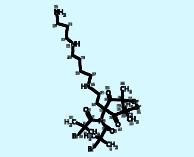 CC(C)(Br)C(=O)N(C(=O)C(C)(C)Br)C(CCNCCCCNCCCN)(C(=O)C(C)(C)Br)C(=O)C(C)(C)Br